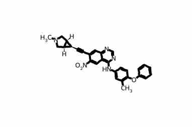 Cc1cc(Nc2ncnc3cc(C#C[C@H]4[C@H]5CN(C)C[C@@H]45)c([N+](=O)[O-])cc23)ccc1Oc1ccccc1